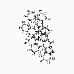 c1ccc(-c2ccc3cccc4c3c2C2(c3ccccc3-c3ccc(N(c5ccc6sc7ccccc7c6c5)c5cccc6ccccc56)cc32)c2ccccc2-4)cc1